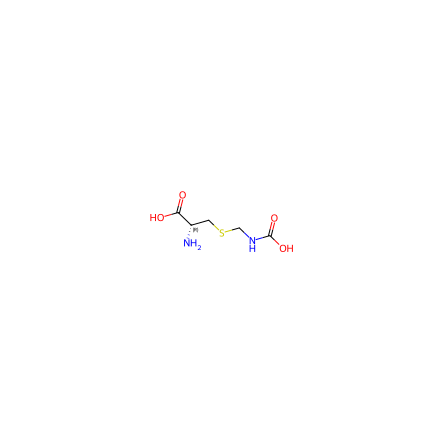 N[C@@H](CSCNC(=O)O)C(=O)O